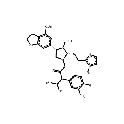 CCCC(CCC)N(C(=O)CN1C[C@H](c2cc(OC)c3c(c2)OCO3)[C@@H](C(=O)O)[C@@H]1CCc1nccn1C)c1ccc(F)c(C)c1